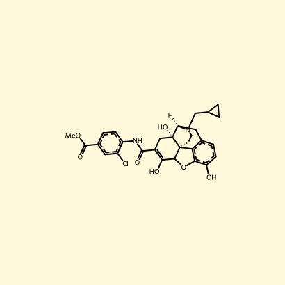 COC(=O)c1ccc(NC(=O)C2=C(O)C3Oc4c(O)ccc5c4[C@@]34CCN(CC3CC3)[C@H](C5)[C@]4(O)C2)c(Cl)c1